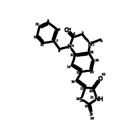 CN1CC(=O)N(Cc2ccccc2)c2cc(/C=C3/SC(=S)NC3=O)ccc21